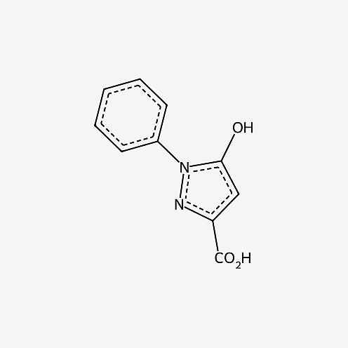 O=C(O)c1cc(O)n(-c2ccccc2)n1